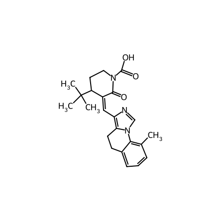 Cc1cccc2c1-n1cnc(C=C3C(=O)N(C(=O)O)CCC3C(C)(C)C)c1CC2